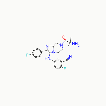 CC(C)(N)C(=O)N1CCn2c(nc(-c3ccc(F)cc3)c2Nc2ccc(F)c(C#N)c2)C1